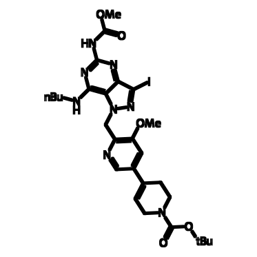 CCCCNc1nc(NC(=O)OC)nc2c(I)nn(Cc3ncc(C4=CCN(C(=O)OC(C)(C)C)CC4)cc3OC)c12